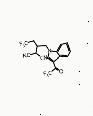 N#CC(C#N)C(Cn1cc(C(=O)C(F)(F)F)c2ccccc21)CC(F)(F)F